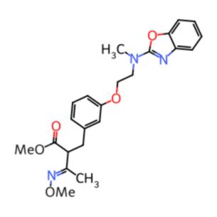 CO/N=C(\C)C(Cc1cccc(OCCN(C)c2nc3ccccc3o2)c1)C(=O)OC